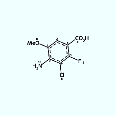 COc1cc(C(=O)O)c(F)c(Cl)c1N